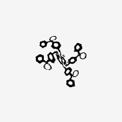 O=C(c1ccccc1)c1ccc(C[N+]2(Cc3ccc(C(=O)c4ccccc4)cc3)CC[N+](Cc3ccc(C(=O)c4ccccc4)cc3)(Cc3ccc(C(=O)c4ccccc4)cc3)CC2)cc1